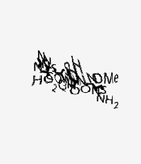 CON=C(C(=O)N[C@@H]1C(=O)N2C(C(=O)O)=C(CSc3c(C(=O)O)cnc4cnnn34)CS[C@H]12)c1csc(N)n1